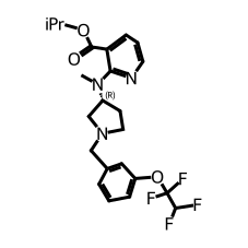 CC(C)OC(=O)c1cccnc1N(C)[C@@H]1CCN(Cc2cccc(OC(F)(F)C(F)F)c2)C1